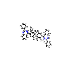 Cc1cc(-c2nc(-c3ccccc3)nc3ccccc23)c(C)cc1-c1cc(C)c(-c2nc(-c3ccccc3)nc3ccccc23)cc1C